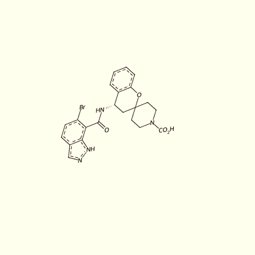 O=C(N[C@H]1CC2(CCN(C(=O)O)CC2)Oc2ccccc21)c1c(Br)ccc2cn[nH]c12